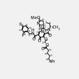 COC1=NO[C@@]2(CC[C@H](C)N3C[C@H]2n2cc(C(=O)NCc4ccc(F)cc4F)c(=O)c(OCOC(=O)CCCCC(C)C)c2C3=O)C1